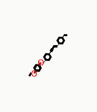 CCOc1ccc(OC[C@H]2CC[C@H](C#C/C=C/[C@H]3CC[C@H](CC)CC3)CC2)cc1